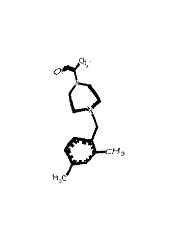 [CH2]C(=O)N1CCN(Cc2ccc(C)cc2C)CC1